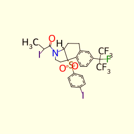 CC(I)C(=O)N1CC[C@@]2(S(=O)(=O)c3ccc(I)cc3)c3ccc(C(F)(C(F)(F)F)C(F)(F)F)cc3CC[C@@H]12